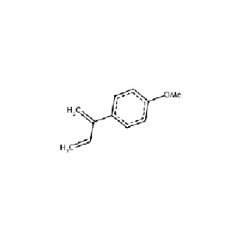 C=CC(=C)c1ccc(OC)cc1